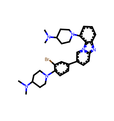 CN(C)C1CCN(c2ccc(-c3ccc4nc5cccc(N6CCC(N(C)C)CC6)c5n4c3)cc2Br)CC1